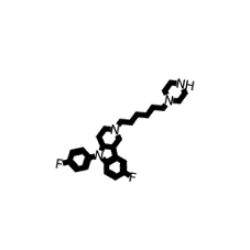 Fc1ccc(N2c3ccc(F)cc3C3CN(CCCCCCN4CCNCC4)CCC32)cc1